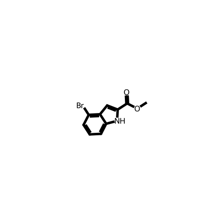 COC(=O)c1cc2c(Br)cccc2[nH]1